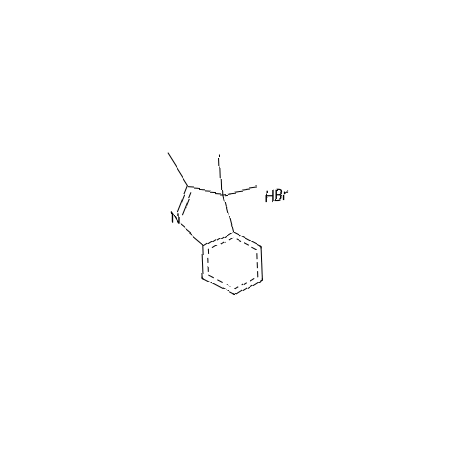 Br.CC1=Nc2ccccc2C1(C)C